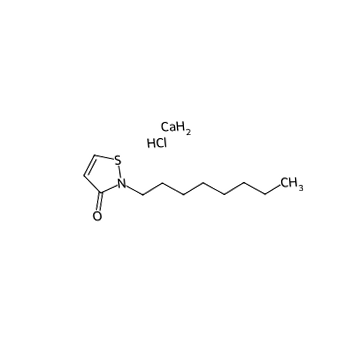 CCCCCCCCn1sccc1=O.Cl.[CaH2]